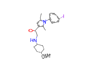 COC1CCC(NCC(=O)c2cc(C)n(-c3ccc(I)cc3)c2C)CC1